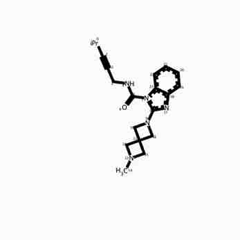 CC(C)C#CCNC(=O)n1c(N2CC3(CN(C)C3)C2)nc2ccccc21